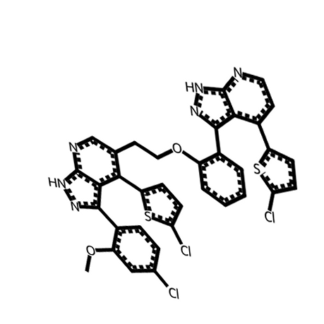 COc1cc(Cl)ccc1-c1n[nH]c2ncc(CCOc3ccccc3-c3n[nH]c4nccc(-c5ccc(Cl)s5)c34)c(-c3ccc(Cl)s3)c12